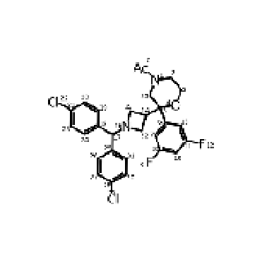 CC(=O)N1CCOC(c2cc(F)cc(F)c2)(C2CN(C(c3ccc(Cl)cc3)c3ccc(Cl)cc3)C2)C1